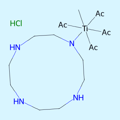 C[C](=O)[Ti]([CH3])([C](C)=O)([C](C)=O)([C](C)=O)[N]1CCNCCNCCNCC1.Cl